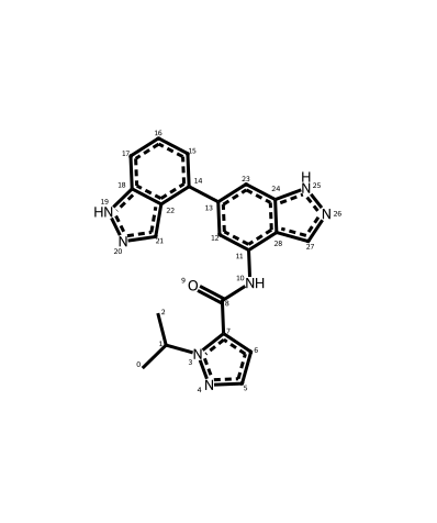 CC(C)n1nccc1C(=O)Nc1cc(-c2cccc3[nH]ncc23)cc2[nH]ncc12